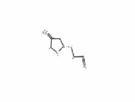 C=C1CO[C@@H](CCC=O)C1